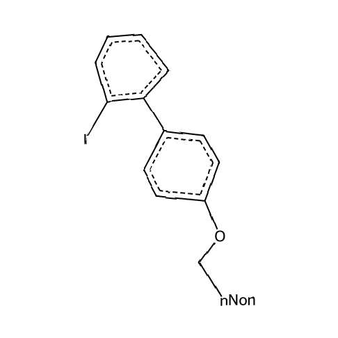 CCCCCCCCCCOc1ccc(-c2ccccc2I)cc1